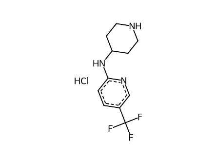 Cl.FC(F)(F)c1ccc(NC2CCNCC2)nc1